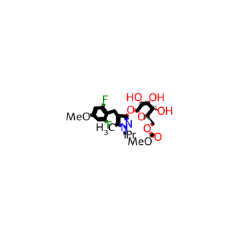 COC(=O)OC[C@H]1OC(Oc2nn(C(C)C)c(C)c2Cc2c(F)cc(OC)cc2F)[C@H](O)[C@@H](O)[C@@H]1O